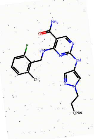 COCCn1cc(Nc2ncc(C(N)=O)c(NCc3c(F)cccc3C(F)(F)F)n2)cn1